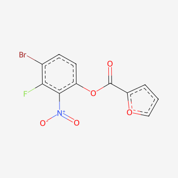 O=C(Oc1ccc(Br)c(F)c1[N+](=O)[O-])c1ccco1